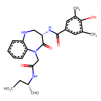 Cc1cc(C(=O)N[C@H]2CNc3ccccc3N(CC(=O)N[C@H](C=O)CC(=O)O)C2=O)cc(C)c1O